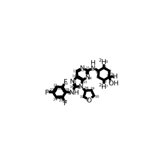 [2H]C1CC([2H])(O)C([2H])CC1Nc1ncc2nc(Nc3c(F)cc(F)cc3F)n(C3CCOC3)c2n1